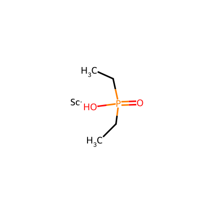 CCP(=O)(O)CC.[Sc]